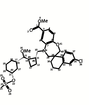 COC(=O)c1ccc2c(c1)N(C[C@@H]1CC[C@H]1C(OC)[C@H]1CCC[C@@H](OS(C)(=O)=O)C1)CC1(CCCc3cc(Cl)ccc31)CO2